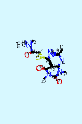 CCN(C)C(=O)CSc1nc(C)nc2c1c(=O)n(C)c(=O)n2C